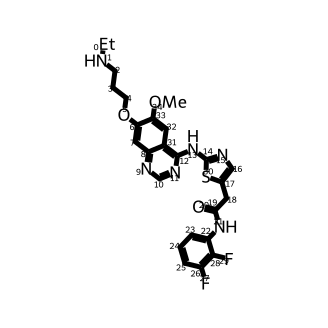 [CH2]CNCCCOc1cc2ncnc(Nc3ncc(CC(=O)Nc4cccc(F)c4F)s3)c2cc1OC